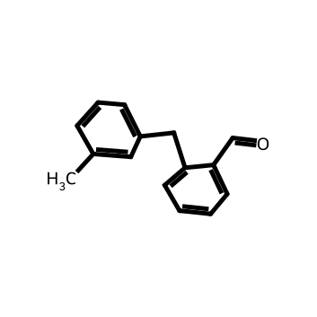 Cc1cccc(Cc2ccccc2C=O)c1